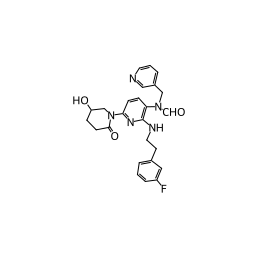 O=CN(Cc1cccnc1)c1ccc(N2CC(O)CCC2=O)nc1NCCc1cccc(F)c1